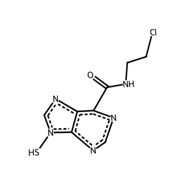 O=C(NCCCl)c1ncnc2c1ncn2S